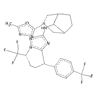 Cc1nnc(N2CC3CCC(C2)C3Nc2nc3n(n2)C(C(F)(F)F)CCC3c2ccc(C(F)(F)F)cc2)o1